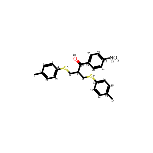 Cc1ccc(SCC(CSc2ccc(C)cc2)C(=O)c2ccc([N+](=O)[O-])cc2)cc1